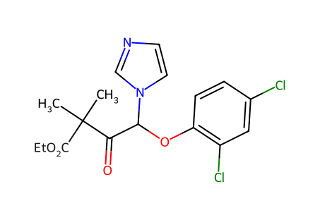 CCOC(=O)C(C)(C)C(=O)C(Oc1ccc(Cl)cc1Cl)n1ccnc1